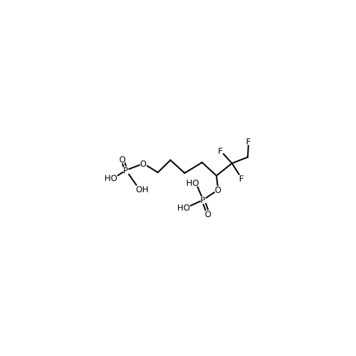 O=P(O)(O)OCCCCC(OP(=O)(O)O)C(F)(F)CF